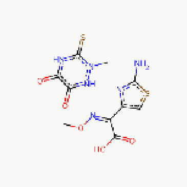 CO/N=C(\C(=O)O)c1csc(N)n1.Cn1[nH]c(=O)c(=O)[nH]c1=S